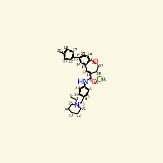 CC[N+]1(Cc2ccc(NC(=O)C3=Cc4cc(-c5ccc(C)cc5)ccc4OCC3)cc2)CCCCC1.[Cl-]